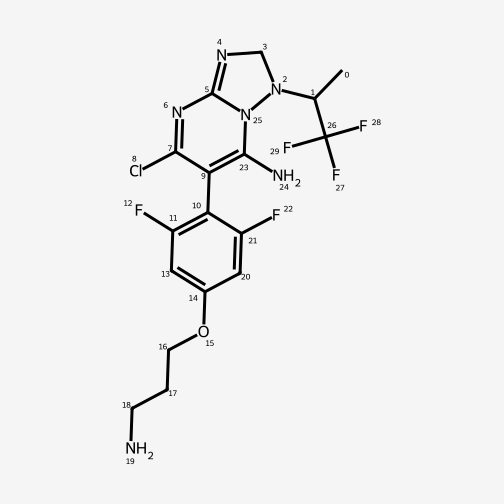 CC(N1CN=C2N=C(Cl)C(c3c(F)cc(OCCCN)cc3F)=C(N)N21)C(F)(F)F